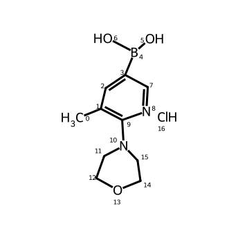 Cc1cc(B(O)O)cnc1N1CCOCC1.Cl